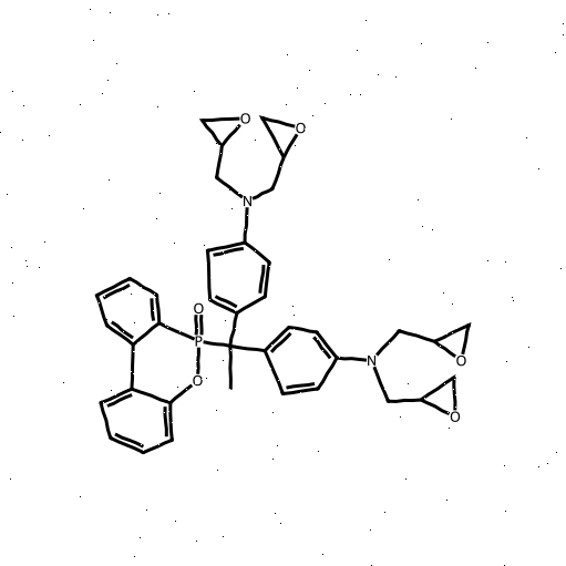 CC(c1ccc(N(CC2CO2)CC2CO2)cc1)(c1ccc(N(CC2CO2)CC2CO2)cc1)P1(=O)Oc2ccccc2-c2ccccc21